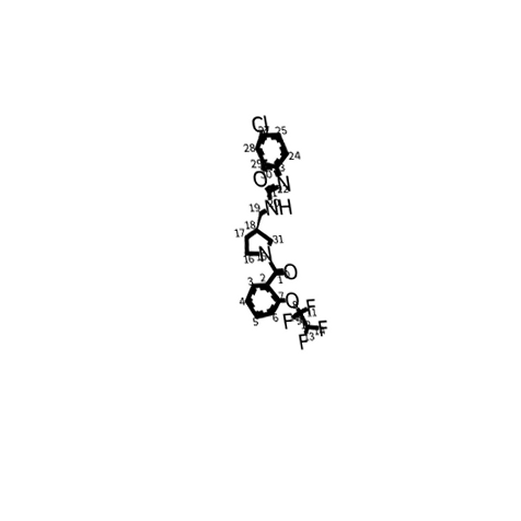 O=C(c1ccccc1OC(F)(F)C(F)F)N1CC[C@@H](CNc2nc3ccc(Cl)cc3o2)C1